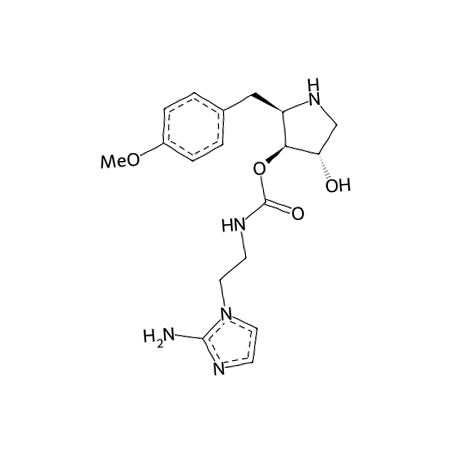 COc1ccc(C[C@H]2NC[C@H](O)[C@H]2OC(=O)NCCn2ccnc2N)cc1